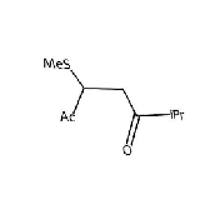 CSC(CC(=O)C(C)C)C(C)=O